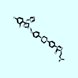 CN(C)CCn1ncn(-c2ccc(N3CCN(c4ccc(OC[C@@H]5CO[C@@](Cn6cncn6)(c6ccc(F)cc6F)C5)cc4)CC3)cc2)c1=O